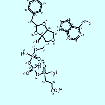 Nc1ncnc2c1ncn2[C@@H]1O[C@H](COP(=O)(O)OP(=O)(O)OP(=O)(O)CCC(=O)O)[C@@H]2OC(Cc3ccccc3)OC21